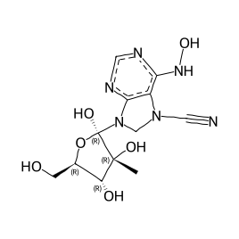 C[C@@]1(O)[C@H](O)[C@@H](CO)O[C@@]1(O)N1CN(C#N)c2c(NO)ncnc21